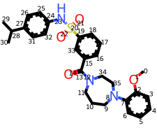 COc1ccccc1N1CCCN(C(=O)c2cccc(S(=O)(=O)Nc3ccc(C(C)C)cc3)c2)CC1